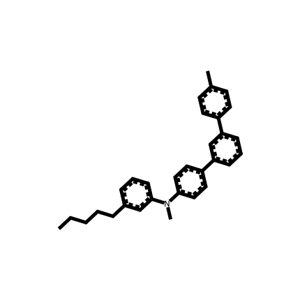 CCCCCc1cccc(N(C)c2ccc(-c3cccc(-c4ccc(C)cc4)c3)cc2)c1